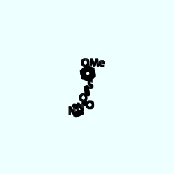 COc1ccc(SCCOC(=O)n2ccnc2)cc1